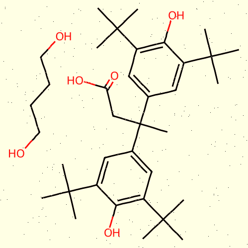 CC(C)(C)c1cc(C(C)(CC(=O)O)c2cc(C(C)(C)C)c(O)c(C(C)(C)C)c2)cc(C(C)(C)C)c1O.OCCCCO